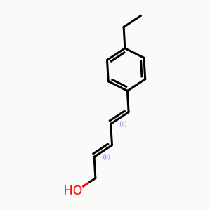 CCc1ccc(/C=C/C=C/CO)cc1